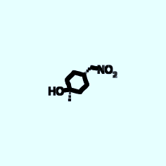 C[C@]1(O)CC[C@H](C[N+](=O)[O-])CC1